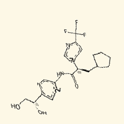 O=C(Nc1cnc([C@H](O)CO)cn1)[C@H](CC1CCCC1)n1cnc(C(F)(F)F)c1